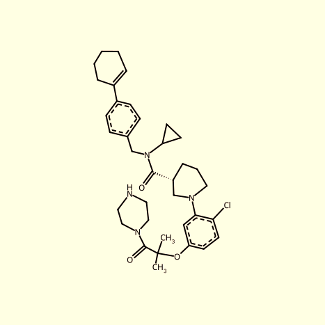 CC(C)(Oc1ccc(Cl)c(N2CCC[C@@H](C(=O)N(Cc3ccc(C4=CCCCC4)cc3)C3CC3)C2)c1)C(=O)N1CCNCC1